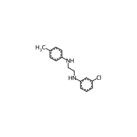 Cc1ccc(NCCNc2cccc(Cl)c2)cc1